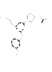 CCCc1cc(N2CC[C@H](NC(C)=O)C2)nc(Nc2cccc(SC)c2)n1